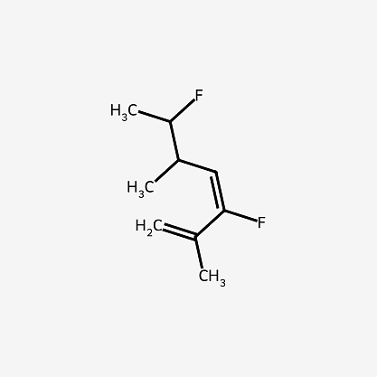 C=C(C)/C(F)=C\C(C)C(C)F